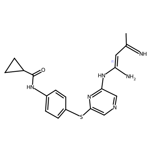 CC(=N)/C=C(\N)Nc1cncc(Sc2ccc(NC(=O)C3CC3)cc2)n1